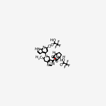 C[C@@H]1Cc2ncnc([C@@H]3C[C@H]4CC[C@@H](C3)N4S(C)(=O)=O)c2CN1c1cc(Cl)nc2[nH]ccc12.O=C(O)C(F)(F)F.O=C(O)C(F)(F)F